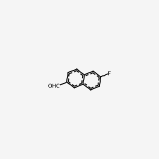 O=Cc1ccc2cc(F)ccc2c1